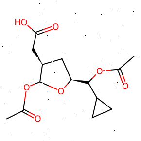 CC(=O)OC1O[C@H](C(OC(C)=O)C2CC2)C[C@@H]1CC(=O)O